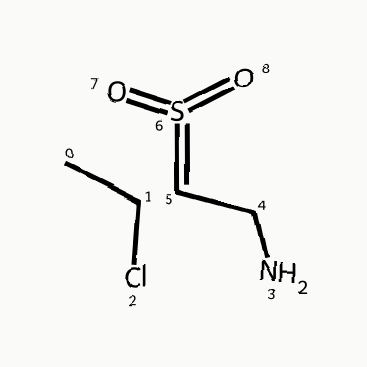 CCCl.NCC=S(=O)=O